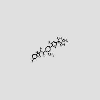 C[C@H](O)[C@@H](O)c1cnc(N2CCN(C(=O)Nc3nc4ccc(F)cc4s3)[C@H](C)C2)c(F)c1